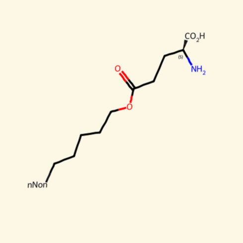 CCCCCCCCCCCCCCOC(=O)CC[C@H](N)C(=O)O